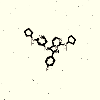 Fc1ccc(C2=NN3C(NC4CCCC4)=NC=CC3C2=Nc2ccnc(NC3CCCC3)c2)cc1